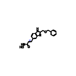 O=C(/C=C/c1ccc2[nH]c(COCc3ccccc3)nc2c1)NO